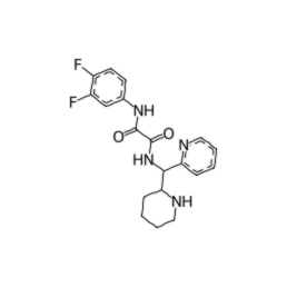 O=C(Nc1ccc(F)c(F)c1)C(=O)NC(c1ccccn1)C1CCCCN1